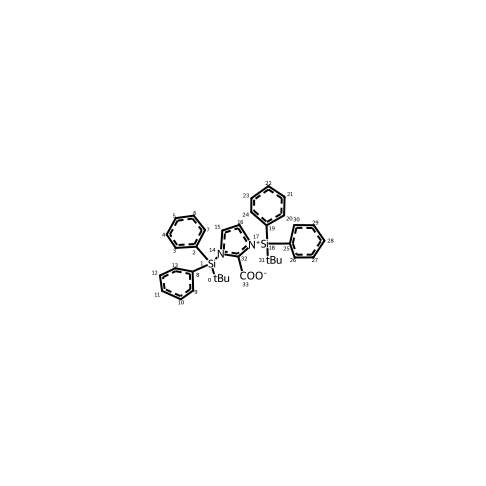 CC(C)(C)[Si](c1ccccc1)(c1ccccc1)n1cc[n+]([Si](c2ccccc2)(c2ccccc2)C(C)(C)C)c1C(=O)[O-]